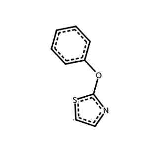 [c]1cnc(Oc2ccccc2)s1